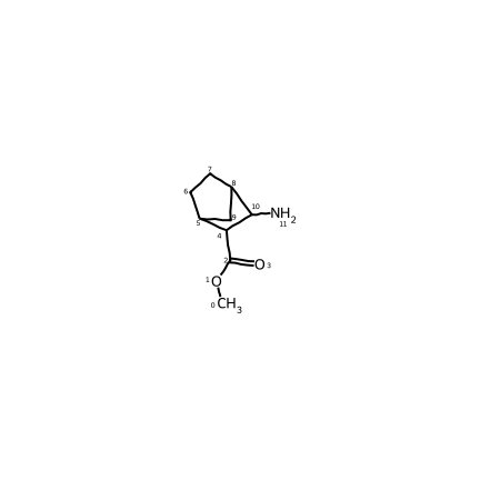 COC(=O)C1C2CCC(C2)C1N